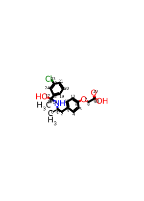 C[C@H](Cc1ccc(OCC(=O)O)cc1)N[C@@](C)(O)c1cccc(Cl)c1